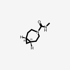 CNC(=O)N1CC[C@@H]2C[C@@H]2CC1